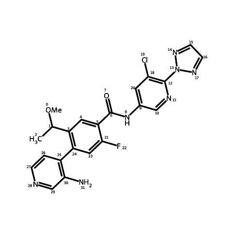 COC(C)c1cc(C(=O)Nc2cnc(-n3nccn3)c(Cl)c2)c(F)cc1-c1ccncc1N